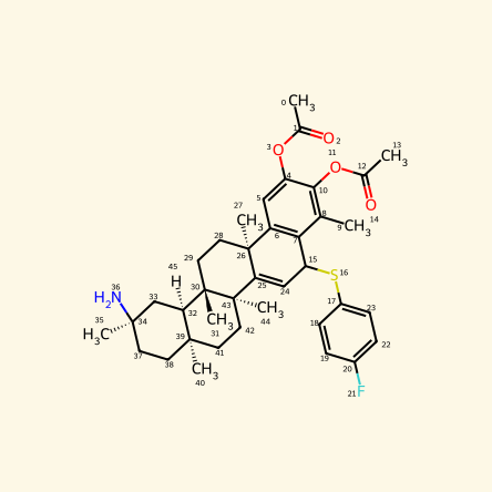 CC(=O)Oc1cc2c(c(C)c1OC(C)=O)C(Sc1ccc(F)cc1)C=C1[C@@]2(C)CC[C@@]2(C)[C@@H]3C[C@](C)(N)CC[C@]3(C)CC[C@]12C